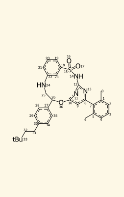 Cc1cccc(C)c1-c1cc2nc(n1)NS(=O)(=O)c1cccc(c1)NCC(c1ccc(CCC(C)(C)C)cc1)O2